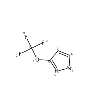 FC(F)(F)OC1=N[N]C=C1